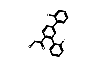 O=C(CCl)c1ccc(-c2ccccc2F)cc1-c1ccccc1F